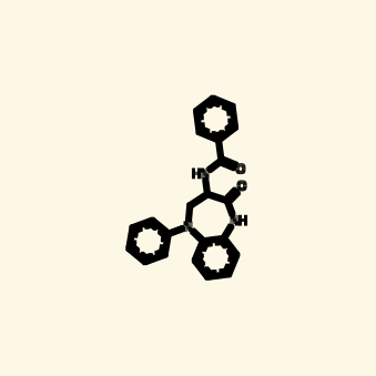 O=C(NC1CN(c2ccccc2)c2ccccc2NC1=O)c1ccccc1